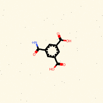 [NH]C(=O)c1cc(C(=O)O)cc(C(=O)O)c1